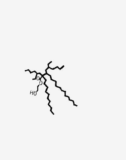 CCCCCCCCCCCCCC(CC(CC)CCCC)C(CCCCCCCCCCC)(CC(CC)CCCC)C(=O)OCCO